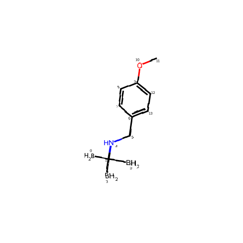 BC(B)(B)NCc1ccc(OC)cc1